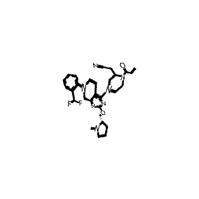 C=CC(=O)N1CCN(c2nc(OC[C@@H]3CCCN3C)nc3c2CCN(c2ccccc2C(F)F)C3)CC1CC#N